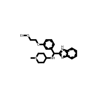 CCOCCOc1cccc(C(NC2CCN(C)CC2)c2nc3ccccc3[nH]2)c1